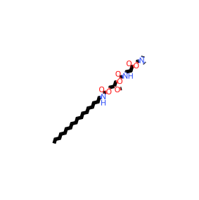 CCCCCCCCCCCCCCCCCCNC(=O)OCC(COC(=O)NCCC(=O)OCN(C)C)OC